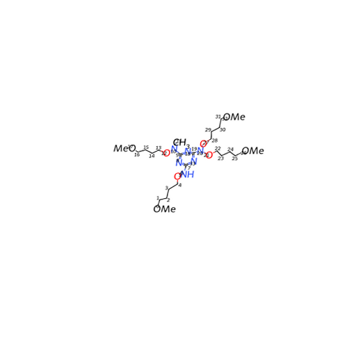 COCCCCONc1nc(N(C)OCCCCOC)nc(N(OCCCCOC)OCCCCOC)n1